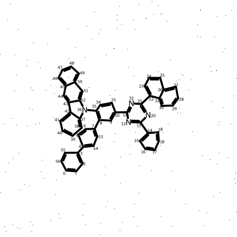 c1ccc(-c2ccc(-c3cc(-c4nc(-c5ccccc5)nc(-c5cccc6ccccc56)n4)ccc3-n3c4ccccc4c4cc5ccccc5cc43)cc2)cc1